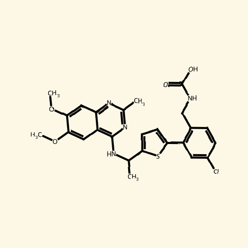 COc1cc2nc(C)nc(NC(C)c3ccc(-c4cc(Cl)ccc4CNC(=O)O)s3)c2cc1OC